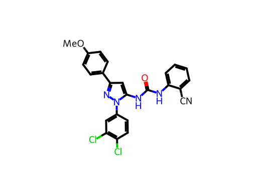 COc1ccc(-c2cc(NC(=O)Nc3ccccc3C#N)n(-c3ccc(Cl)c(Cl)c3)n2)cc1